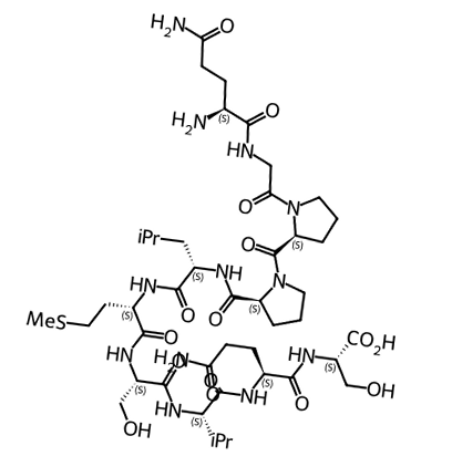 CSCC[C@H](NC(=O)[C@H](CC(C)C)NC(=O)[C@@H]1CCCN1C(=O)[C@@H]1CCCN1C(=O)CNC(=O)[C@@H](N)CCC(N)=O)C(=O)N[C@@H](CO)C(=O)N[C@H](C(=O)N[C@@H](CCC(N)=O)C(=O)N[C@@H](CO)C(=O)O)C(C)C